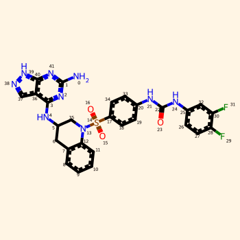 Nc1nc(NC2Cc3ccccc3N(S(=O)(=O)c3ccc(NC(=O)Nc4ccc(F)c(F)c4)cc3)C2)c2cn[nH]c2n1